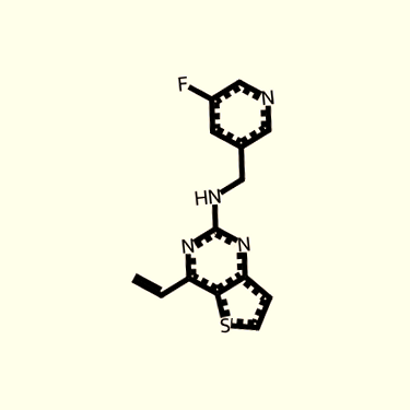 C=Cc1nc(NCc2cncc(F)c2)nc2ccsc12